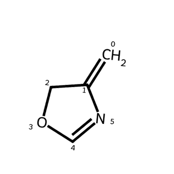 C=C1COC=N1